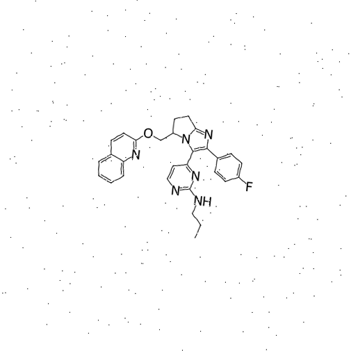 CCCNc1nccc(-c2c(-c3ccc(F)cc3)nc3n2C(COc2ccc4ccccc4n2)CC3)n1